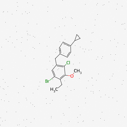 CCc1c(Br)cc(Cc2ccc(C3CC3)cc2)c(Cl)c1OC